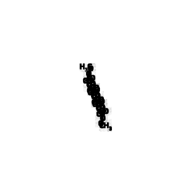 COCCOCCN1C(=O)c2ccc3c4c(ccc(c24)C1=O)C(=O)N(N1C(=O)c2ccc4c5c(ccc(c25)C1=O)C(=O)N(N1C(=O)c2ccc5c6c(ccc(c26)C1=O)C(=O)N(CCOCCOC)C5=O)C4=O)C3=O